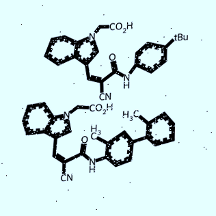 CC(C)(C)c1ccc(NC(=O)C(C#N)=Cc2cn(CC(=O)O)c3ccccc23)cc1.Cc1cc(-c2ccccc2C)ccc1NC(=O)C(C#N)=Cc1cn(CC(=O)O)c2ccccc12